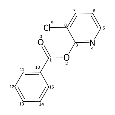 O=C(Oc1n[c]ccc1Cl)c1ccccc1